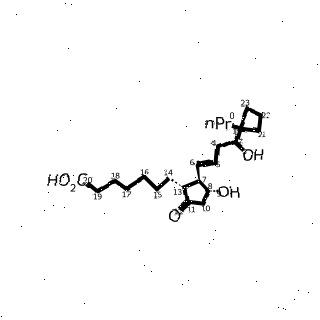 CCCC1(C(O)C/C=C/[C@H]2[C@H](O)CC(=O)[C@@H]2CCCCCCC(=O)O)CCC1